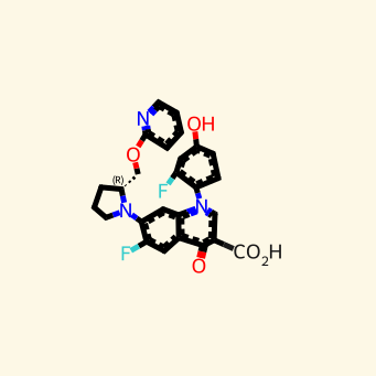 O=C(O)c1cn(-c2ccc(O)cc2F)c2cc(N3CCC[C@@H]3COc3ccccn3)c(F)cc2c1=O